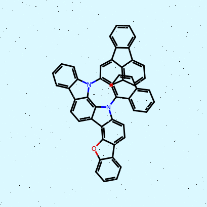 c1ccc2c(c1)-c1cccc3cc(-n4c5ccccc5c5ccc6c7c8oc9ccccc9c8ccc7n(-c7cccc8ccccc78)c6c54)cc-2c13